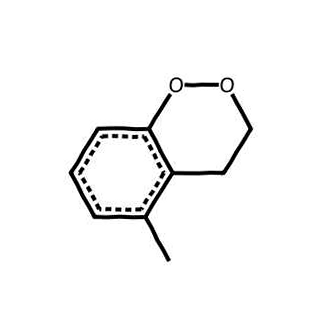 Cc1cccc2c1CCOO2